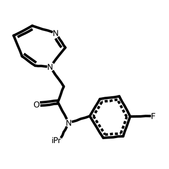 CC(C)N(C(=O)CN1C=CC=CN=C1)c1ccc(F)cc1